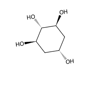 O[C@@H]1C[C@@H](O)[C@H](O)[C@@H](O)C1